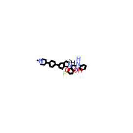 [2H][C@](c1nc2ccccc2[nH]1)(c1cc(F)ccc1O)n1ccc2cc(-c3ccc(C4CCN(C)CC4)cc3)ccc2c1=O